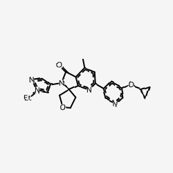 CCn1cc(N2C(=O)c3c(C)cc(-c4cncc(OC5CC5)c4)nc3C23CCOC3)cn1